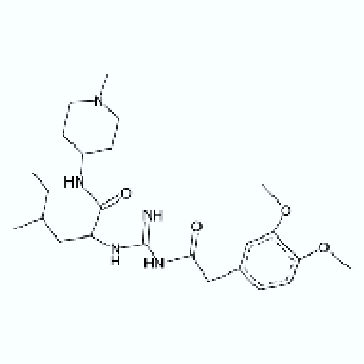 CCC(C)CC(NC(=N)NC(=O)Cc1ccc(OC)c(OC)c1)C(=O)NC1CCN(C)CC1